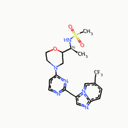 C[C@H](NS(C)(=O)=O)C1CN(c2ccnc(-c3cnc4ccc(C(F)(F)F)cn34)n2)CCO1